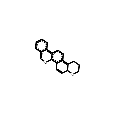 C1=CC2OCCCC2=c2ccc3c(c21)OC=c1ccccc1=3